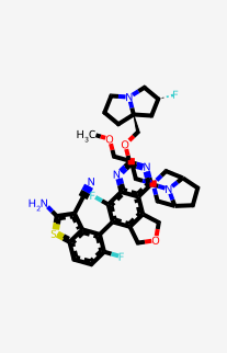 COCCCN1CC2CCC(C1)N2c1nc(OC[C@@]23CCCN2C[C@H](F)C3)nc2c(F)c(-c3c(F)ccc4sc(N)c(C#N)c34)c3c(c12)COC3